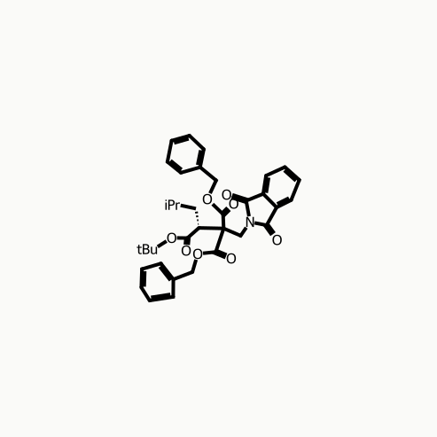 CC(C)C[C@@H](C(=O)OC(C)(C)C)C(CN1C(=O)c2ccccc2C1=O)(C(=O)OCc1ccccc1)C(=O)OCc1ccccc1